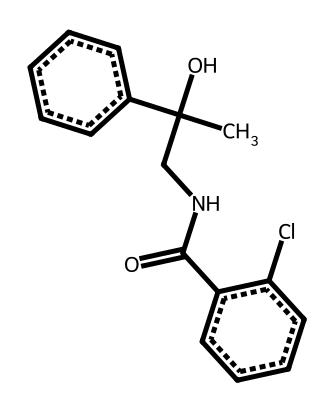 CC(O)(CNC(=O)c1ccccc1Cl)c1ccccc1